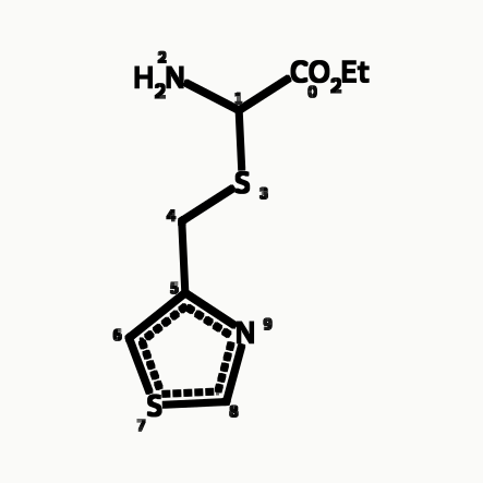 CCOC(=O)C(N)SCc1cscn1